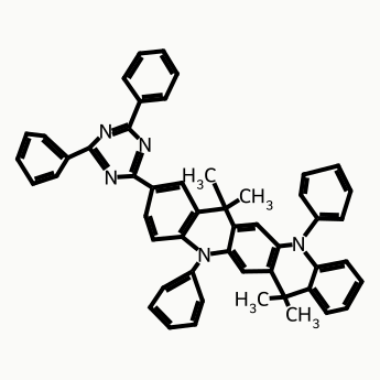 CC1(C)c2ccccc2N(c2ccccc2)c2cc3c(cc21)N(c1ccccc1)c1ccc(-c2nc(-c4ccccc4)nc(-c4ccccc4)n2)cc1C3(C)C